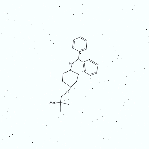 COC(C)(C)COC1CCC(NC(c2ccccc2)c2ccccc2)CC1